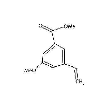 C=[C]c1cc(OC)cc(C(=O)OC)c1